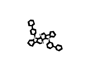 c1ccc(-c2ccc(-n3c4ccccc4c4cnc5c(ncc6c7ccccc7n(-c7cccc(-c8ccccc8)c7)c65)c43)cc2)cc1